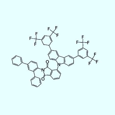 O=C1c2cccc(-n3c4ccc(-c5cc(C(F)(F)F)cc(C(F)(F)F)c5)cc4c4cc(C5C=C(C(F)(F)F)C=C(C(F)(F)F)C5)ccc43)c2C(=O)N1c1ccc(-c2ccccc2)cc1-c1ccccc1